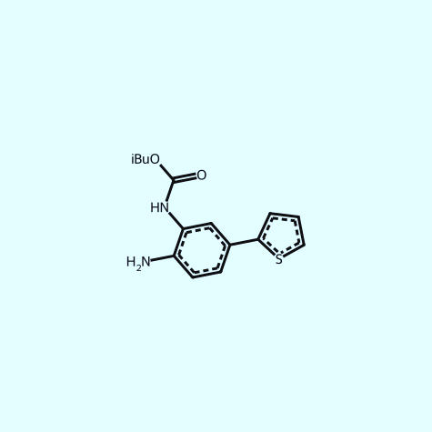 CC(C)COC(=O)Nc1cc(-c2cccs2)ccc1N